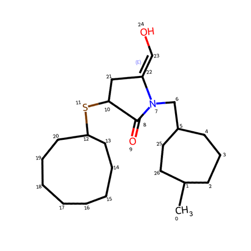 CC1CCCC(CN2C(=O)C(SC3CCCCCCCC3)C/C2=C\O)CC1